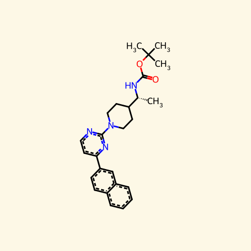 C[C@@H](NC(=O)OC(C)(C)C)C1CCN(c2nccc(-c3ccc4ccccc4c3)n2)CC1